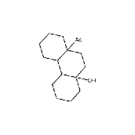 CC(=O)C12CCCCC1C1CCCCC1(O)CC2